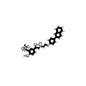 CS(=O)(=O)Nc1cc([C@@H](O)CNCCOc2ccc(-c3ccc4ccccc4c3)cc2)ccc1O